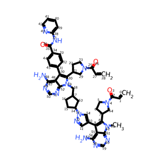 C=CC(=O)N1CCC(c2c(-c3cnn(C4CCC(Cn5c(C6CCN(C(=O)C=C)C6)c(-c6ccc(C(=O)Nc7ccccn7)cc6)c6c(N)ncnc65)C4)c3)c3c(N)ncnc3n2C)C1